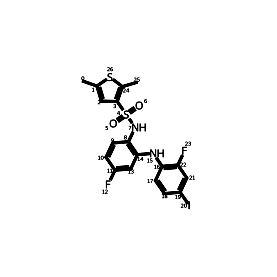 Cc1cc(S(=O)(=O)Nc2ccc(F)cc2Nc2ccc(I)cc2F)c(C)s1